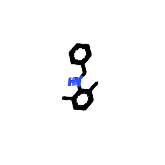 Cc1cccc(C)c1NCc1ccccc1